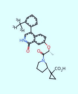 [2H]C([2H])([2H])c1ccccc1-c1c[nH]c(=O)c2cc(O[C@H](C)C(=O)N3CCC[C@H](C4(C(=O)O)CC4)C3)ccc12